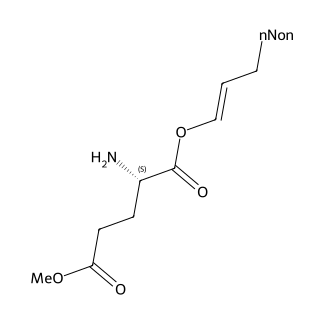 CCCCCCCCCCC=COC(=O)[C@@H](N)CCC(=O)OC